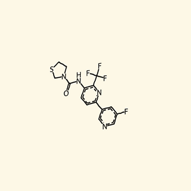 O=C(Nc1ccc(-c2cncc(F)c2)nc1C(F)(F)F)N1CCSC1